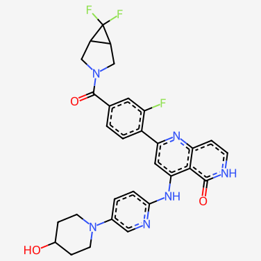 O=C(c1ccc(-c2cc(Nc3ccc(N4CCC(O)CC4)cn3)c3c(=O)[nH]ccc3n2)c(F)c1)N1CC2C(C1)C2(F)F